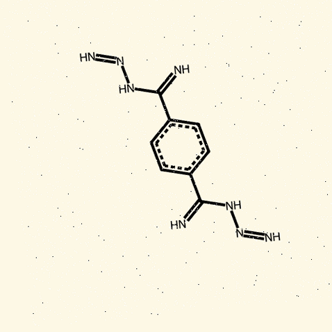 N=NNC(=N)c1ccc(C(=N)NN=N)cc1